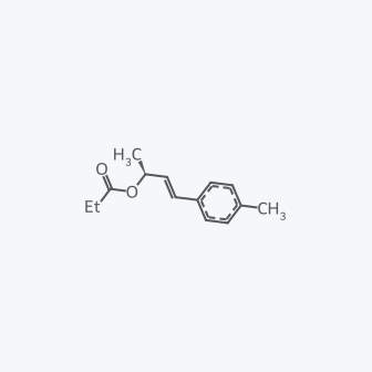 CCC(=O)O[C@@H](C)/C=C/c1ccc(C)cc1